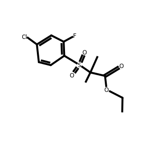 CCOC(=O)C(C)(C)S(=O)(=O)c1ccc(Cl)cc1F